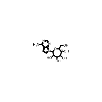 Nc1ncnc2c1ccn2C1OC(CO)[C@@H](O)C(O)C(O)C1O